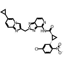 O=C(Nc1nccc2nn(Cc3cn4cc(C5CC5)ccc4n3)nc12)[C@H]1C[C@@H]1c1cc(Cl)ccc1[N+](=O)[O-]